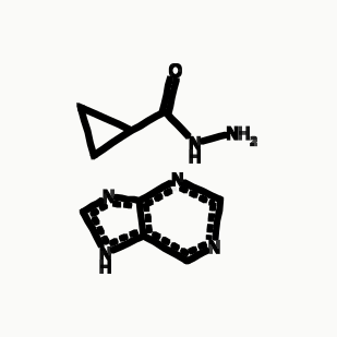 NNC(=O)C1CC1.c1ncc2[nH]cnc2n1